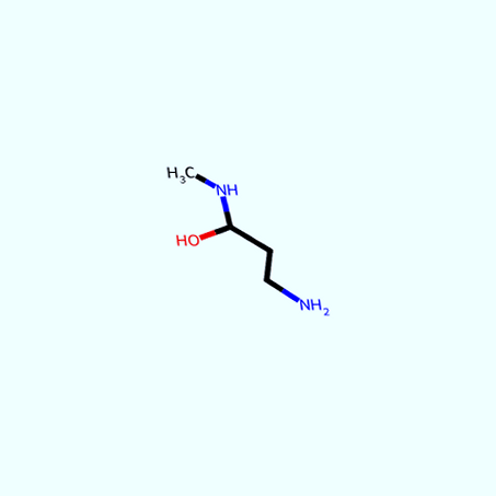 CNC(O)CCN